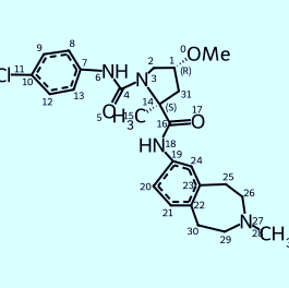 CO[C@H]1CN(C(=O)Nc2ccc(Cl)cc2)[C@](C)(C(=O)Nc2ccc3c(c2)CCN(C)CC3)C1